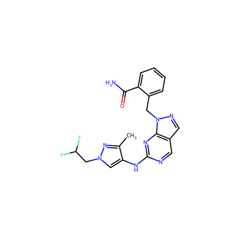 Cc1nn(CC(F)F)cc1Nc1ncc2cnn(Cc3ccccc3C(N)=O)c2n1